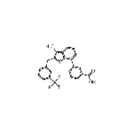 Cc1c(Cc2cccc(C(F)(F)F)c2)sc2c(-c3cccc(C(=O)O)c3)cccc12